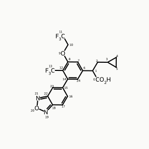 O=C(O)C(CC1CC1)c1cc(OCC(F)(F)F)c(C(F)(F)F)c(-c2ccc3nonc3c2)c1